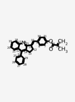 C=C(C)C(=O)Oc1ccc(C=C2CCc3c2nc2ccccc2c3-c2ccccc2)cc1